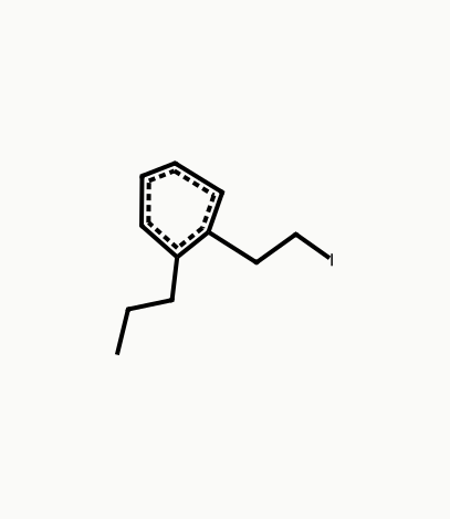 CCCc1ccccc1CCI